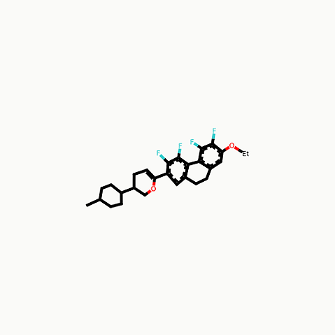 CCOc1cc2c(c(F)c1F)-c1c(cc(C3=CCC(C4CCC(C)CC4)CO3)c(F)c1F)CC2